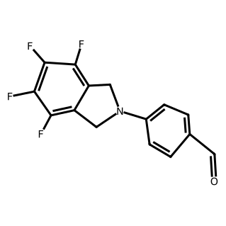 O=Cc1ccc(N2Cc3c(F)c(F)c(F)c(F)c3C2)cc1